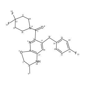 CC1COc2nc(C(=O)N3CCC(F)(F)CC3)c(Cc3ccc(F)cc3)cc2N1